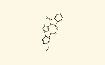 CCc1ccc2c(c1)C(=O)c1c-2csc1N1C(=O)c2ccccc2C1=O